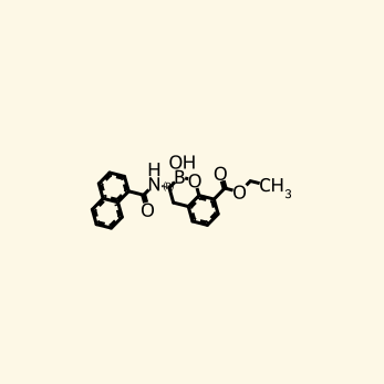 CCOC(=O)c1cccc2c1OB(O)[C@@H](NC(=O)c1cccc3ccccc13)C2